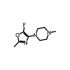 Cc1nc(N2CCN(C)CC2)c(F)o1